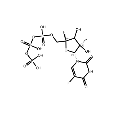 C[C@@]1(O)C(O)[C@@](F)(COP(=O)(O)OP(=O)(O)OP(=O)(O)O)O[C@H]1n1cc(F)c(=O)[nH]c1=S